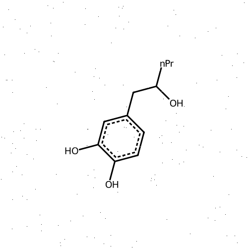 CCCC(O)Cc1ccc(O)c(O)c1